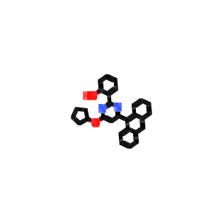 Oc1ccccc1-c1nc(OC2CCCC2)cc(-c2c3ccccc3cc3ccccc23)n1